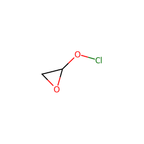 ClOC1CO1